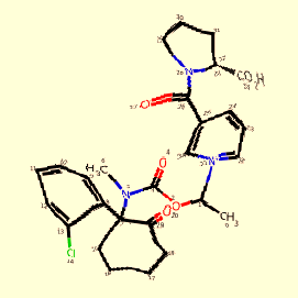 CC(OC(=O)N(C)C1(c2ccccc2Cl)CCCCC1=O)[n+]1cccc(C(=O)N2CCC[C@H]2C(=O)O)c1